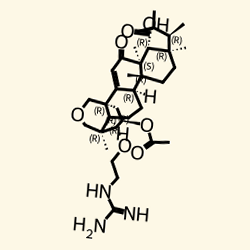 CC(=O)O[C@@H]1C[C@@]23COC[C@@](C)([C@@H]2CC[C@H]2C3=CC(=O)[C@@]3(C)[C@H](C(=O)O)[C@@](C)([C@H](C)C(C)C)CC[C@]23C)[C@H]1OCCNC(=N)N